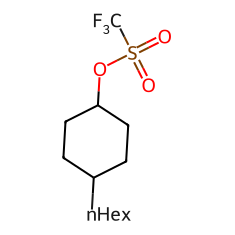 CCCCCCC1CCC(OS(=O)(=O)C(F)(F)F)CC1